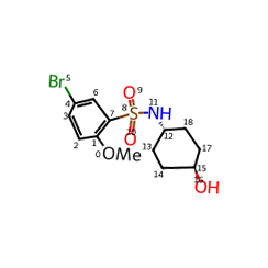 COc1ccc(Br)cc1S(=O)(=O)N[C@H]1CC[C@H](O)CC1